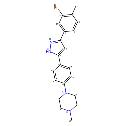 Cc1ccc(-c2cc(-c3ccc(N4CCN(C)CC4)cc3)[nH]n2)cc1Br